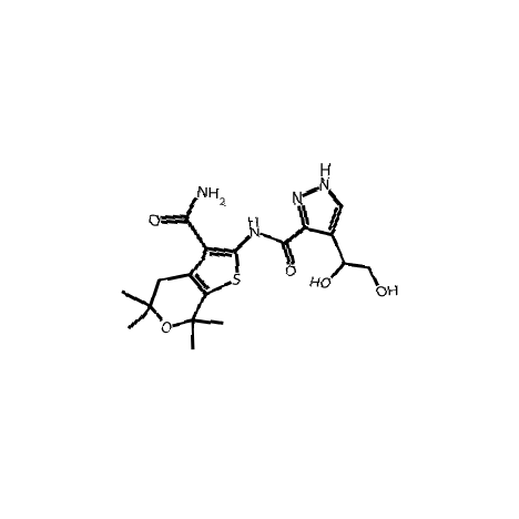 CC1(C)Cc2c(sc(NC(=O)c3n[nH]cc3C(O)CO)c2C(N)=O)C(C)(C)O1